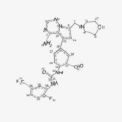 Nc1ncnn2c(CN3CCOCC3)cc(-c3ccc(NC(=O)Nc4cc(C(F)(F)F)ccc4F)c(C=O)c3)c12